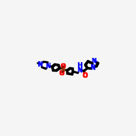 CN1CCN(c2ccc(S(=O)(=O)c3ccc(CNC(=O)c4ccc5nccn5c4)cc3)cc2)CC1